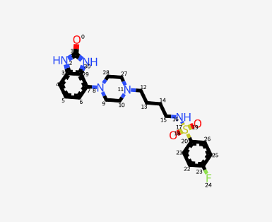 O=c1[nH]c2cccc(N3CCN(CCCCNS(=O)(=O)c4ccc(F)cc4)CC3)c2[nH]1